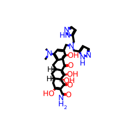 CN(C)c1cc(CN(Cc2ccn[nH]2)Cc2ccn[nH]2)c(O)c2c1C[C@H]1C[C@H]3CC(O)=C(C(N)=O)C(=O)[C@@]3(O)C(O)=C1C2=O